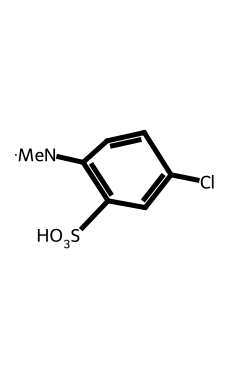 C[N]c1ccc(Cl)cc1S(=O)(=O)O